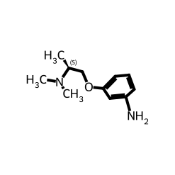 C[C@@H](COc1cccc(N)c1)N(C)C